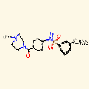 COc1cccc(S(=O)(=O)NC2CCC(C(=O)N3CCN(C(C)C)CC3)CC2)c1